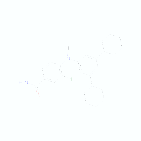 CN(c1cc(C2CCCCC2)cc(C2CCCCC2)c1)c1ccc(C(N)=O)cc1F